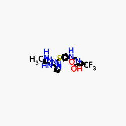 Cc1cc(Nc2nc(Sc3ccc(NC(=O)CN4C[C@H](C(F)(F)F)C[C@H]4CO)cc3)nn3cccc23)n[nH]1